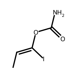 CC=C(I)OC(N)=O